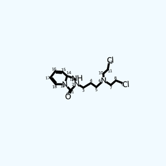 O=C1N(CCCN(CCCl)CCCl)NC2C=CC=CN12